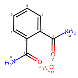 NC(=O)c1ccccc1C(N)=O.O